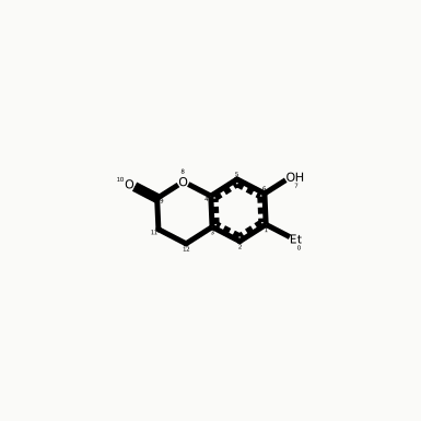 CCc1cc2c(cc1O)OC(=O)CC2